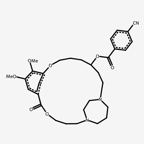 COc1cc2cc(c1OC)OCCCC(OC(=O)c1ccc(C#N)cc1)CCN1CCCN(CCCOC2=O)CC1